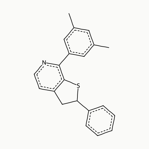 Cc1cc(C)cc(-c2nccc3c2SC(c2ccccc2)C3)c1